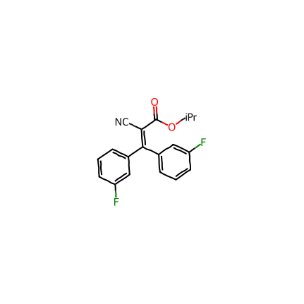 CC(C)OC(=O)C(C#N)=C(c1cccc(F)c1)c1cccc(F)c1